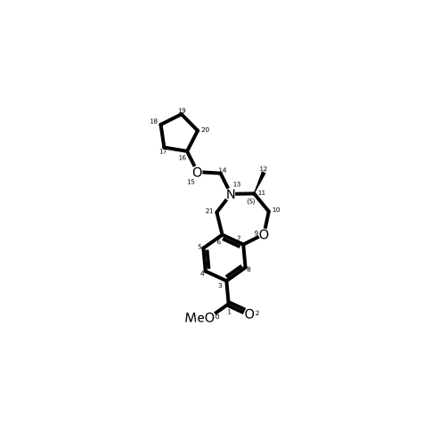 COC(=O)c1ccc2c(c1)OC[C@H](C)N(COC1CCCC1)C2